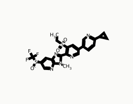 CCS(=O)(=O)c1cc(-c2ccc(C3CC3)nc2)cnc1-c1nc2cc([S+]([O-])C(F)(F)F)cnc2n1C